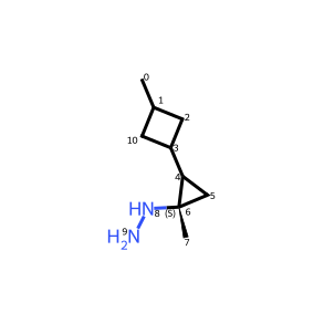 CC1CC(C2C[C@]2(C)NN)C1